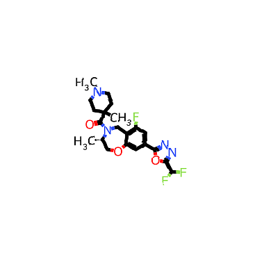 C[C@H]1COc2cc(-c3nnc(C(F)F)o3)cc(F)c2CN1C(=O)C1(C)CCN(C)CC1